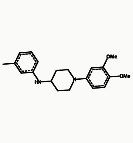 COc1ccc(N2CCC(Nc3cccc(C)c3)CC2)cc1OC